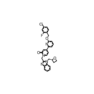 O=c1cc(-c2cccc(OCc3ccc(Cl)cc3F)n2)ccn1Cc1nc2ccccc2n1C[C@@H]1CCO1